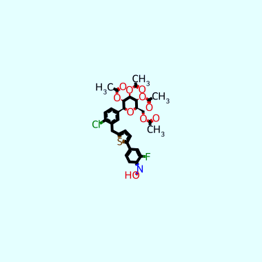 CC(=O)OC[C@H]1O[C@@H](c2ccc(Cl)c(Cc3ccc(C4=CCC(=NO)C(F)=C4)s3)c2)[C@H](OC(C)=O)[C@@H](OC(C)=O)[C@@H]1OC(C)=O